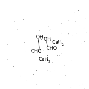 O=CO.O=CO.[CaH2].[CaH2]